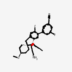 CO[C@H]1CC[C@]2(CC1)Cc1cc(F)c(-c3cc(F)cc(C#N)c3)cc1[C@]21N=C(C)C(N)=N1